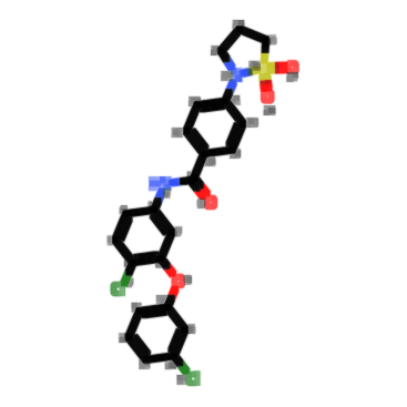 O=C(Nc1ccc(Cl)c(Oc2cccc(Cl)c2)c1)c1ccc(N2CCCS2(=O)=O)cc1